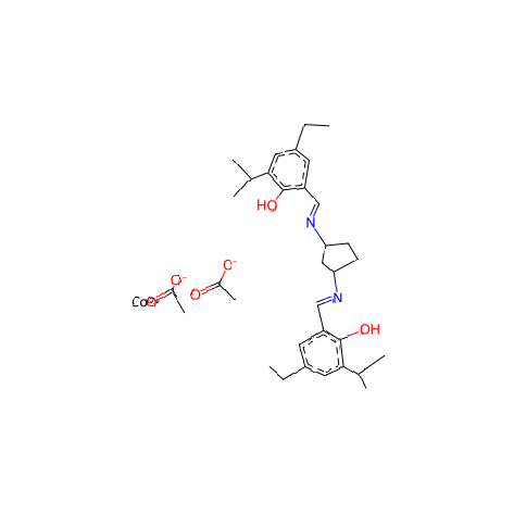 CC(=O)[O-].CC(=O)[O-].CCc1cc(C=NC2CCC(N=Cc3cc(CC)cc(C(C)C)c3O)C2)c(O)c(C(C)C)c1.[Co+2]